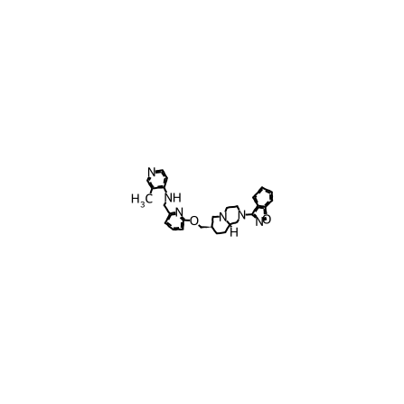 Cc1cnccc1NCc1cccc(OC[C@@H]2CC[C@H]3CN(c4noc5ccccc45)CCN3C2)n1